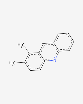 Cc1ccc2nc3ccccc3[c]c2c1C